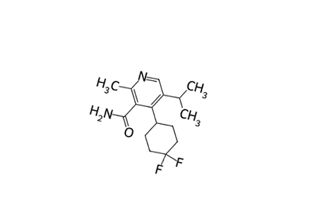 Cc1ncc(C(C)C)c(C2CCC(F)(F)CC2)c1C(N)=O